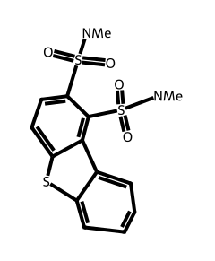 CNS(=O)(=O)c1ccc2sc3ccccc3c2c1S(=O)(=O)NC